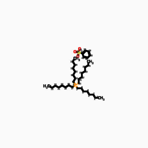 CCCCCCCC[P+](CCCCCCCC)(CCCCCCCC)CCCCCCCC.O=S(=O)([O-])c1ccccc1